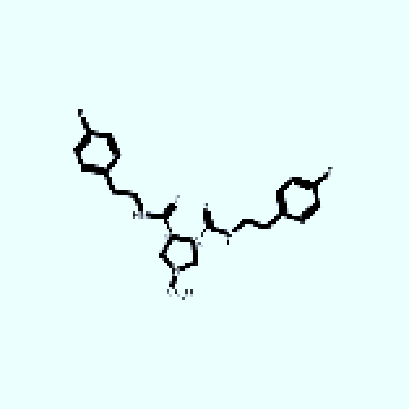 O=C(NCCc1ccc(F)cc1)[C@@H]1CN(C(=O)O)C[C@H]1C(=O)NCCc1ccc(F)cc1